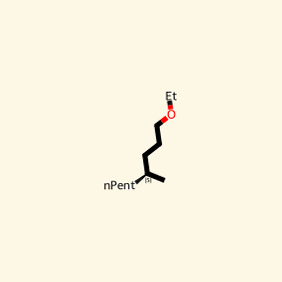 C[CH]CCC[C@H](C)CCCOCC